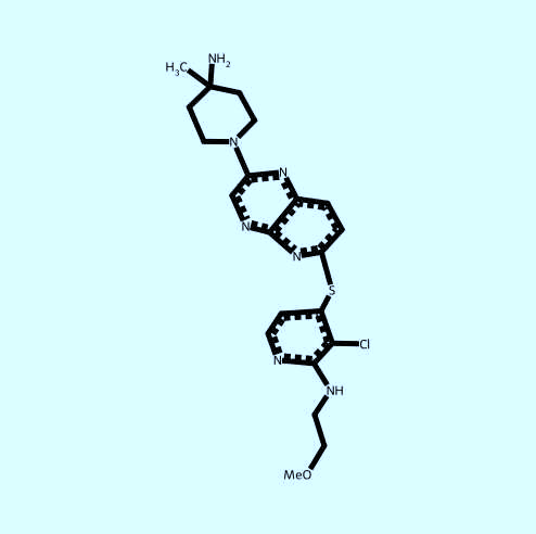 COCCNc1nccc(Sc2ccc3nc(N4CCC(C)(N)CC4)cnc3n2)c1Cl